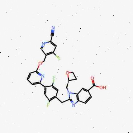 N#Cc1cc(F)c(COc2cccc(-c3cc(F)c(Cc4nc5ccc(C(=O)O)cc5n4C[C@@H]4CCO4)cc3F)n2)cn1